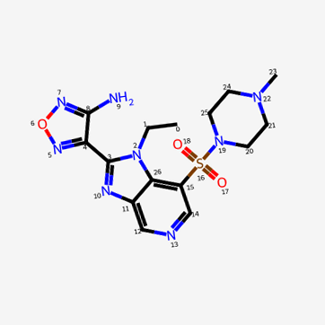 CCn1c(-c2nonc2N)nc2cncc(S(=O)(=O)N3CCN(C)CC3)c21